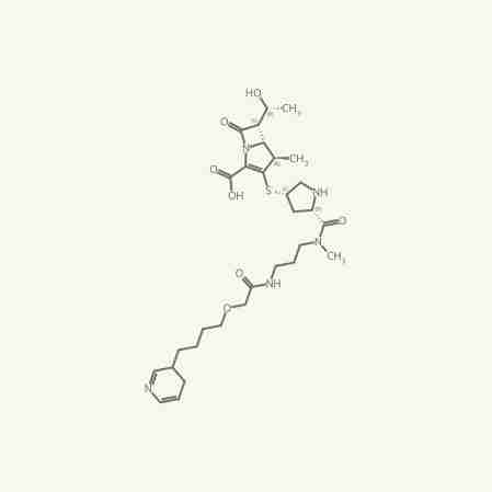 C[C@H]1C(S[C@@H]2CN[C@H](C(=O)N(C)CCCNC(=O)COCCCCC3C=NC=CC3)C2)=C(C(=O)O)N2C(=O)[C@H]([C@@H](C)O)C12